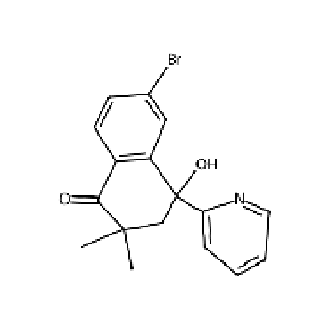 CC1(C)CC(O)(c2ccccn2)c2cc(Br)ccc2C1=O